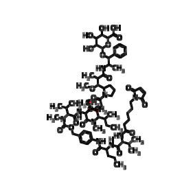 CCCC(NC(=O)C(NC(=O)CCCCCN1C(=O)C=CC1=O)C(C)C)C(=O)Nc1ccc(COC(=O)N(C)C(C(=O)NC(C(=O)N(C)C(C(C)CC)C(CC(=O)N2CCCC2C(OC)C(C)C(=O)NC(C)C(OC2OC(C(=O)O)C(O)C(O)C2O)c2ccccc2)OC)C(C)C)C(C)C)cc1